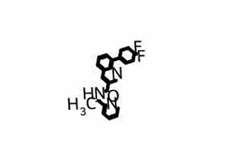 C[C@H](NC(=O)c1cnc2c(C3=CCC(F)(F)CC3)cccc2c1)c1ccccn1